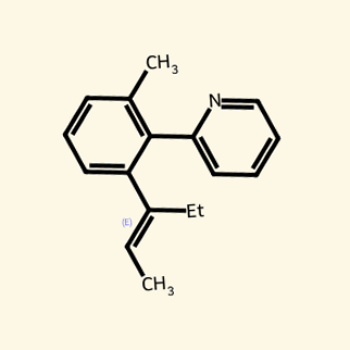 C/C=C(\CC)c1cccc(C)c1-c1ccccn1